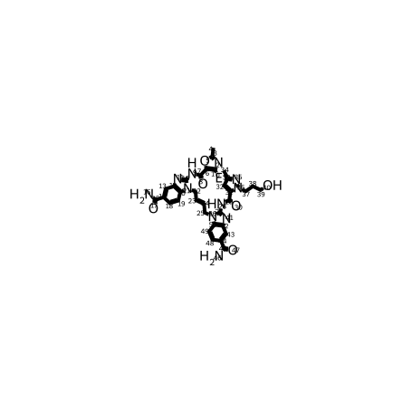 CCc1nc(C)oc1C(=O)Nc1nc2cc(C(N)=O)ccc2n1CC=CCn1c(NC(=O)c2cc(C)nn2CCCO)nc2cc(C(N)=O)ccc21